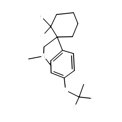 CN(C)CC1(c2ccc(OC(F)(F)F)cc2)CCCCC1(O)F